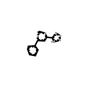 c1ccc(-c2cc(-c3nnn[nH]3)ncn2)cc1